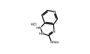 CCCCCCC1=Nc2cnccc2NN1.Cl